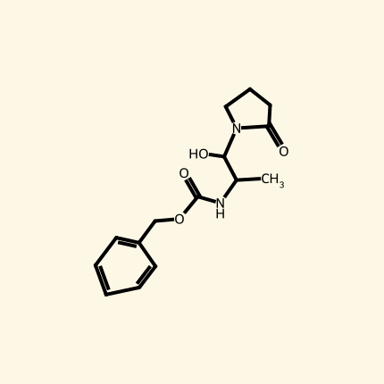 CC(NC(=O)OCc1ccccc1)C(O)N1CCCC1=O